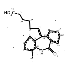 Cc1cccc2c1NC(=O)c1ccncc1/C2=C/CCCCC(=O)O